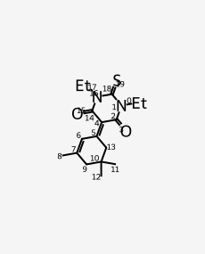 CCN1C(=O)C(=C2C=C(C)CC(C)(C)C2)C(=O)N(CC)C1=S